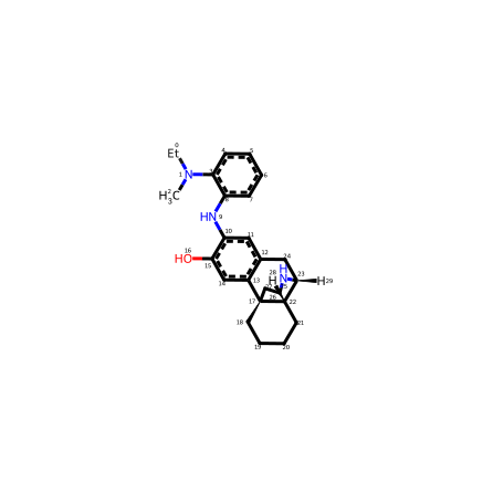 CCN(C)c1ccccc1Nc1cc2c(cc1O)[C@@]13CCCC[C@H]1[C@@H](C2)NCC3